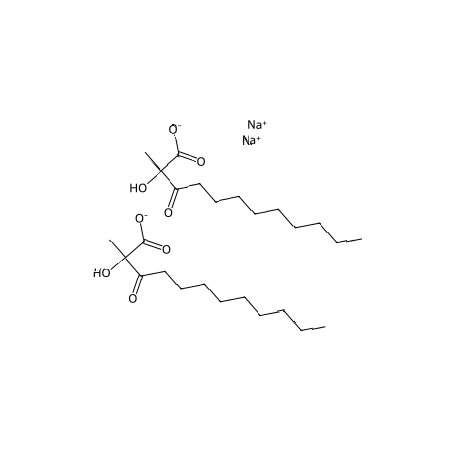 CCCCCCCCCC(=O)C(C)(O)C(=O)[O-].CCCCCCCCCC(=O)C(C)(O)C(=O)[O-].[Na+].[Na+]